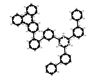 c1ccc(-c2cccc(-c3nc(-c4cccc(-c5ccccc5)c4)nc(-c4cccc(-c5ccccc5-c5ccc6c7ccccc7c7ccccc7c6c5)c4)n3)c2)cc1